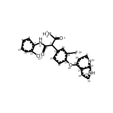 NC(=O)C(C(=O)Nc1ccccc1Cl)c1ccc(Oc2ccnc3[nH]ccc23)c(F)c1